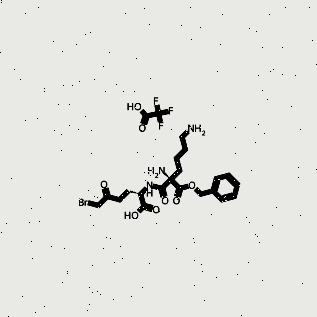 NCCCC[C@](N)(C(=O)N[C@@H](CCC(=O)CBr)C(=O)O)C(=O)OCc1ccccc1.O=C(O)C(F)(F)F